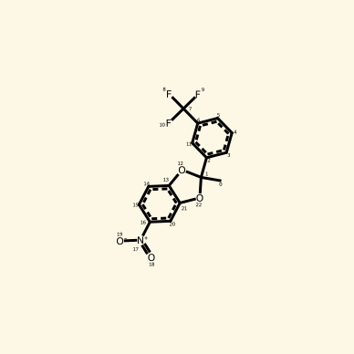 CC1(c2cccc(C(F)(F)F)c2)Oc2ccc([N+](=O)[O-])cc2O1